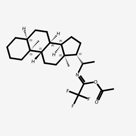 CC(=O)OC(=NC(C)[C@H]1CC[C@@H]2[C@@H]3CC[C@@H]4CCCC[C@]4(C)[C@H]3CC[C@]12C)C(F)(F)F